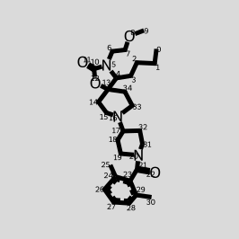 CCCCC1N(CCOC)C(=O)OC12CCN(C1CCN(C(=O)c3c(C)cccc3C)CC1)CC2